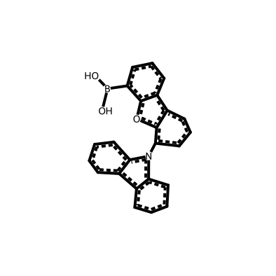 OB(O)c1cccc2c1oc1c(-n3c4ccccc4c4ccccc43)cccc12